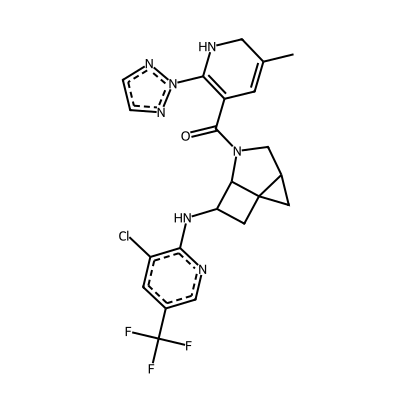 CC1=CC(C(=O)N2CC3CC34CC(Nc3ncc(C(F)(F)F)cc3Cl)C24)=C(n2nccn2)NC1